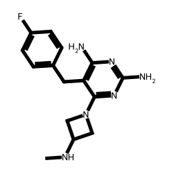 CNC1CN(c2nc(N)nc(N)c2Cc2ccc(F)cc2)C1